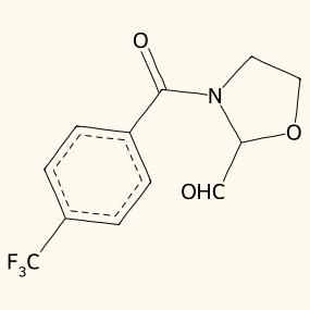 O=CC1OCCN1C(=O)c1ccc(C(F)(F)F)cc1